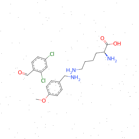 COc1ccc(CN)cc1.NCCCC[C@H](N)C(=O)O.O=Cc1ccc(Cl)cc1Cl